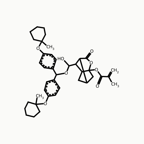 C=C(C)C(=O)OC12CC3CC1C(C(O)OC(c1ccc(OC4(C)CCCCC4)cc1)c1ccc(OC4(C)CCCCC4)cc1)C3C(=O)O2